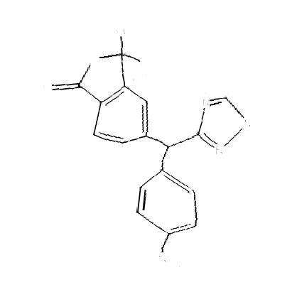 CC1(C)OC(=O)c2ccc(C(c3ccc([N+](=O)[O-])cc3)c3nc[nH]n3)cc21